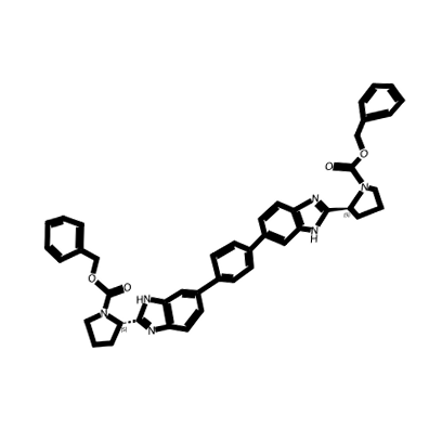 O=C(OCc1ccccc1)N1CCC[C@H]1c1nc2ccc(-c3ccc(-c4ccc5nc([C@@H]6CCCN6C(=O)OCc6ccccc6)[nH]c5c4)cc3)cc2[nH]1